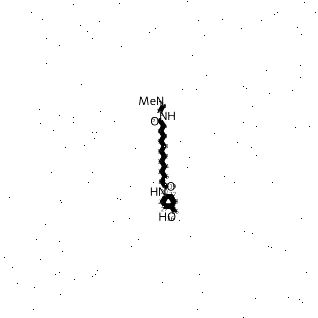 CNCCNC(=O)CCCCCCCCCCCCC(=O)Nc1ccc(CO)cc1